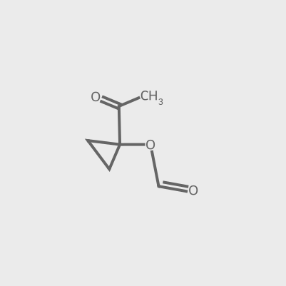 CC(=O)C1(OC=O)CC1